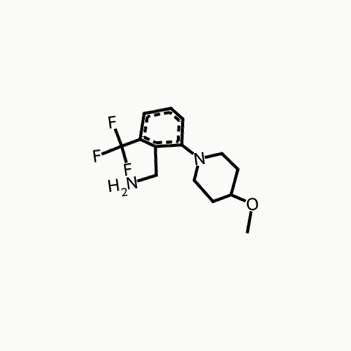 COC1CCN(c2cccc(C(F)(F)F)c2CN)CC1